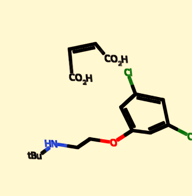 CC(C)(C)NCCOc1cc(Cl)cc(Cl)c1.O=C(O)/C=C\C(=O)O